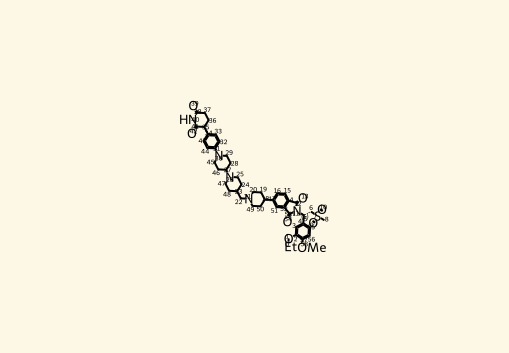 CCOc1cc([C@@H](CS(C)(=O)=O)N2C(=O)c3ccc(C4CCN(CC5CCN(C6CCN(c7ccc(C8CCC(=O)NC8=O)cc7)CC6)CC5)CC4)cc3C2=O)ccc1OC